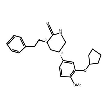 COc1ccc([C@H]2CNC(=O)[C@H](CCc3ccccc3)C2)cc1OC1CCCC1